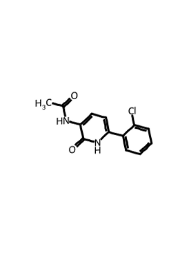 CC(=O)Nc1ccc(-c2ccccc2Cl)[nH]c1=O